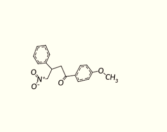 COc1ccc(C(=O)CC(C[N+](=O)[O-])c2ccccc2)cc1